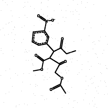 CCC(=O)C(c1cccc([N+](=O)[O-])c1)C(C(=O)COC(C)=O)C(=O)OC